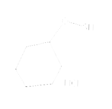 Cl.SOC1CCCCC1